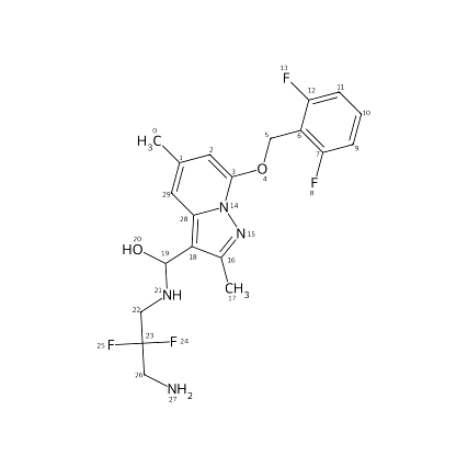 Cc1cc(OCc2c(F)cccc2F)n2nc(C)c(C(O)NCC(F)(F)CN)c2c1